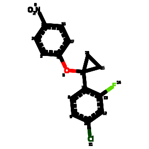 O=[N+]([O-])c1ccc(OC2(c3ccc(Cl)cc3F)CC2)cc1